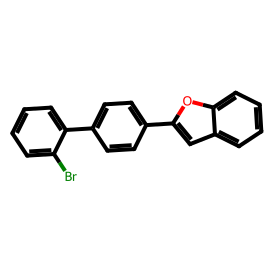 Brc1ccccc1-c1ccc(-c2cc3ccccc3o2)cc1